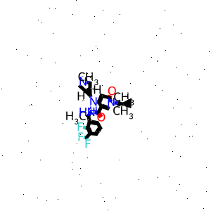 C[C@@H](NC(=O)c1cn(C(C)(C)C2CC2)c(=O)cc1NC1[C@H]2CN(C)C[C@@H]12)c1cccc(C(F)F)c1F